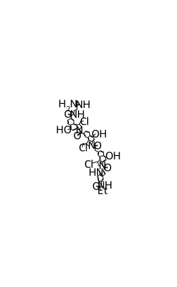 CCC(=O)Nc1ccc2[nH]c(C(=O)N3CC(CCl)c4c3cc(O)c3ccc(CC(=O)N5CC(CCl)c6c5cc(O)c5ccc(C(=O)N7CC(CCl)c8c7cc(O)c7ccc(C(=O)NCCC(=N)N)cc87)cc65)cc43)cc2c1